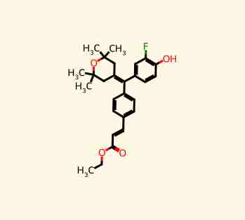 CCOC(=O)C=Cc1ccc(C(=C2CC(C)(C)OC(C)(C)C2)c2ccc(O)c(F)c2)cc1